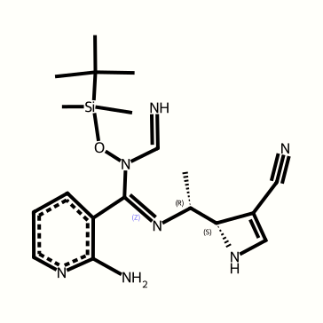 C[C@@H](/N=C(/c1cccnc1N)N(C=N)O[Si](C)(C)C(C)(C)C)[C@H]1NC=C1C#N